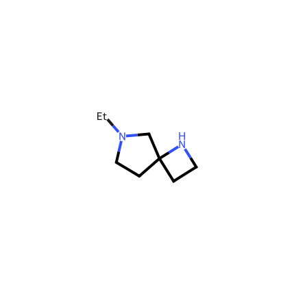 CCN1CCC2(CCN2)C1